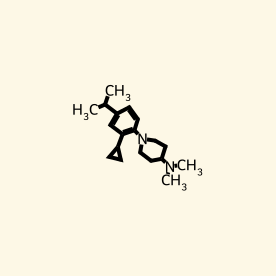 CC(C)c1ccc(N2CCC(N(C)C)CC2)c(C2CC2)c1